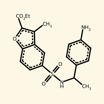 CCOC(=O)c1oc2ccc(S(=O)(=O)NC(C)c3ccc(N)cc3)cc2c1C